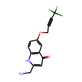 NCc1cc(=O)c2cc(OCC#CC(F)(F)F)ccc2[nH]1